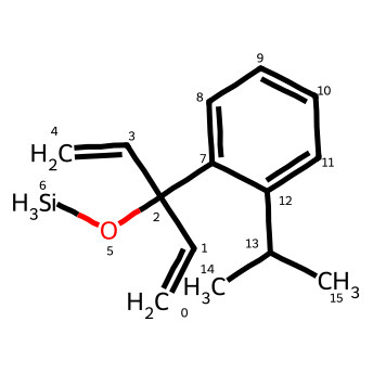 C=CC(C=C)(O[SiH3])c1ccccc1C(C)C